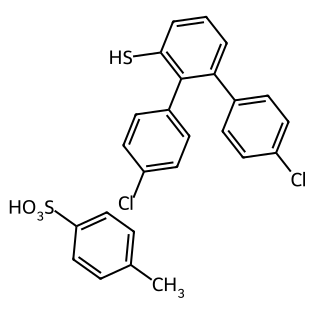 Cc1ccc(S(=O)(=O)O)cc1.Sc1cccc(-c2ccc(Cl)cc2)c1-c1ccc(Cl)cc1